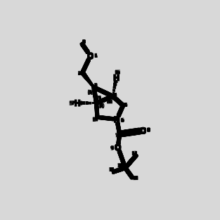 COC[C@H]1[C@H]2CN(C(=O)OC(C)(C)C)C[C@@H]12